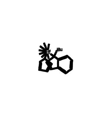 CCC(C)[C]1([Hf]([CH3])([CH3])([CH3])([CH3])([CH3])([CH3])([CH3])[CH]2C=CC=C2)C=Cc2ccccc21